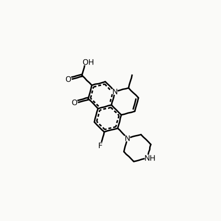 CC1C=Cc2c(N3CCNCC3)c(F)cc3c(=O)c(C(=O)O)cn1c23